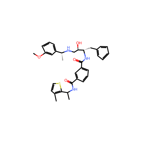 COc1cccc([C@@H](C)NC[C@@H](O)[C@H](Cc2ccccc2)NC(=O)c2cccc(C(=O)NC(C)c3sccc3C)c2)c1